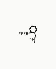 CN(C)Cc1ccccc1.[B+3].[F-].[F-].[F-]